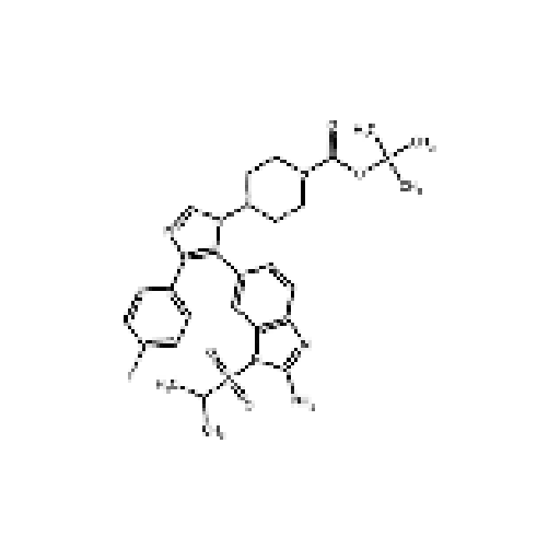 CC(C)S(=O)(=O)n1c(N)nc2ccc(-c3c(-c4ccc(F)cc4)ncn3C3CCN(C(=O)OC(C)(C)C)CC3)cc21